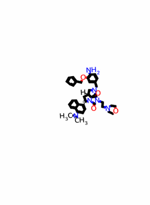 CN(C)c1ccc([C@@H]2C[C@H]3CN(Cc4ccc(N)c(OCc5ccccc5)c4)CC34C(=O)N(CCN3CCOCC3)C(=O)N24)c2ccccc12